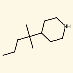 CCCC(C)(C)C1CCNCC1